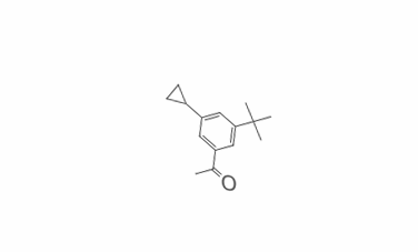 CC(=O)c1cc(C2CC2)cc(C(C)(C)C)c1